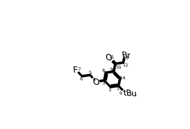 CC(C)(C)c1cc(OCCF)cc(C(=O)CBr)c1